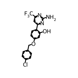 Nc1nc(-c2ccc(OCc3ccc(Cl)cc3)cc2O)cc(C(F)(F)F)n1